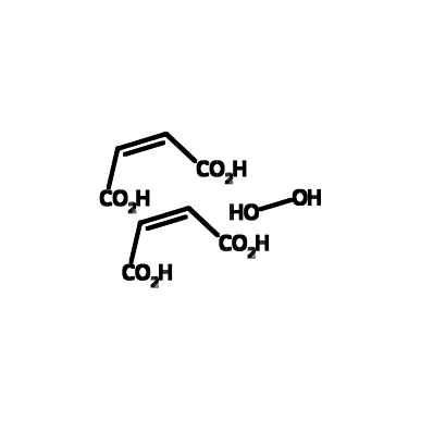 O=C(O)/C=C\C(=O)O.O=C(O)/C=C\C(=O)O.OO